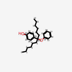 CCCCCCC(CCCCCC)(Oc1ccccc1)c1ccc(O)cc1